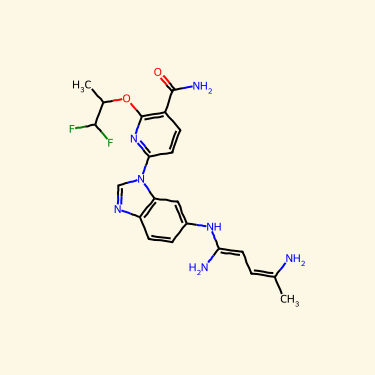 C/C(N)=C/C=C(\N)Nc1ccc2ncn(-c3ccc(C(N)=O)c(OC(C)C(F)F)n3)c2c1